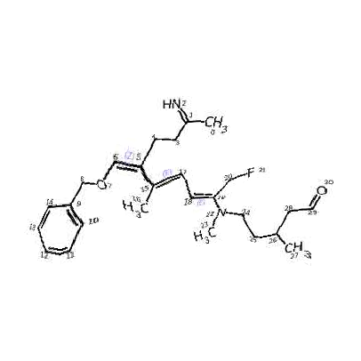 CC(=N)CCC(=C/OCc1ccccc1)/C(C)=C/C=C(\CF)N(C)CCC(C)CC=O